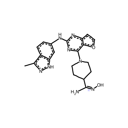 Cc1n[nH]c2cc(Nc3nc(N4CCC(/C(N)=N\O)CC4)c4occc4n3)ccc12